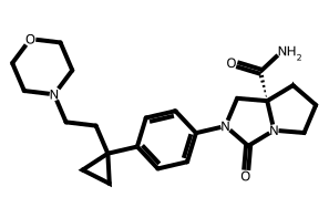 NC(=O)[C@]12[CH]CCN1C(=O)N(c1ccc(C3(CCN4CCOCC4)CC3)cc1)C2